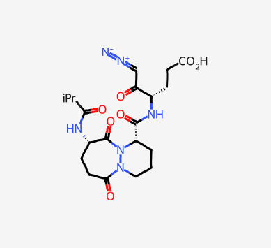 CC(C)C(=O)N[C@H]1CCC(=O)N2CCC[C@@H](C(=O)N[C@@H](CCC(=O)O)C(=O)C=[N+]=[N-])N2C1=O